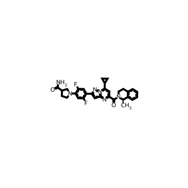 C[C@@H]1c2ccccc2CCN1C(=O)c1cc(C2CC2)n2nc(-c3cc(F)c(N4CCC(C(N)=O)C4)cc3F)cc2n1